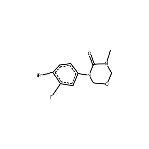 CC(C)c1ccc(N2COCN(C)C2=O)cc1F